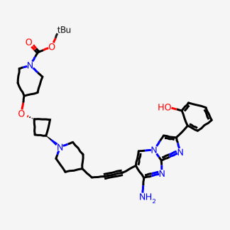 CC(C)(C)OC(=O)N1CCC(O[C@H]2C[C@H](N3CCC(CC#Cc4cn5cc(-c6ccccc6O)nc5nc4N)CC3)C2)CC1